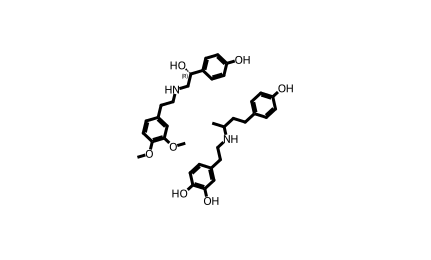 CC(CCc1ccc(O)cc1)NCCc1ccc(O)c(O)c1.COc1ccc(CCNC[C@H](O)c2ccc(O)cc2)cc1OC